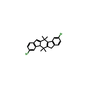 CC1(C)C2=Cc3ccc(Br)cc3C2C(C)(C)C2=C1c1cc(Br)ccc1C2